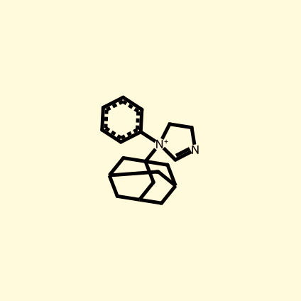 C1=NCC[N+]1(c1ccccc1)C12CC3CC(CC(C3)C1)C2